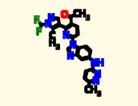 CC(=O)c1ccc(-n2cnc3cc(Nc4ccc(C)nn4)ccc32)nc1-c1cnn(C(F)F)c1C